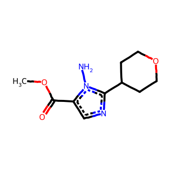 COC(=O)c1cnc(C2CCOCC2)n1N